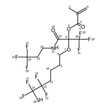 C=C(C)C(=O)OC(OCCCCC(F)(F)C(F)(F)S)(C(=O)NCCC(F)(F)F)C(F)(F)F